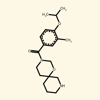 Cc1cc(C(=O)N2CCC3(CCCNC3)OC2)ccc1OC(C)C